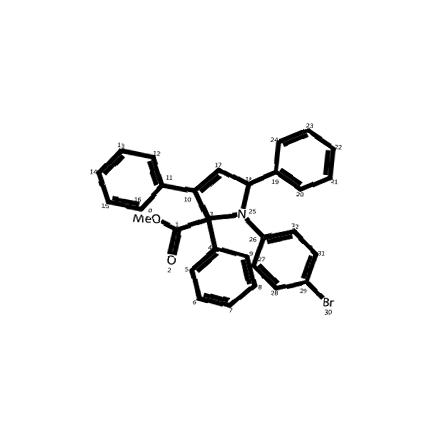 COC(=O)C1(c2ccccc2)C(c2ccccc2)=CC(c2ccccc2)N1c1ccc(Br)cc1